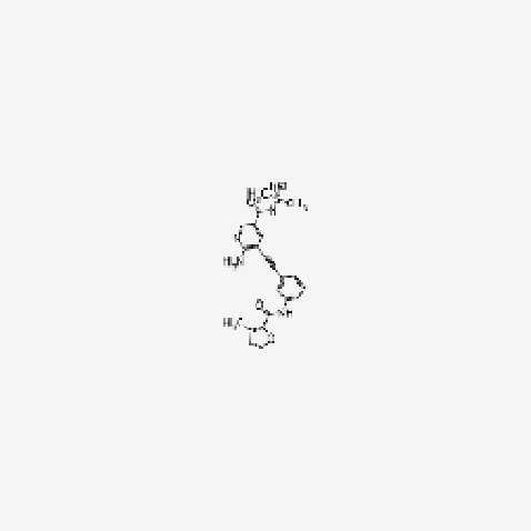 Cc1ccoc1C(=O)Nc1cccc(C#Cc2cc(C(=O)N=[SH](C)(C)O)cnc2N)c1